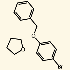 Brc1ccc(OCc2ccccc2)cc1.C1CCOC1